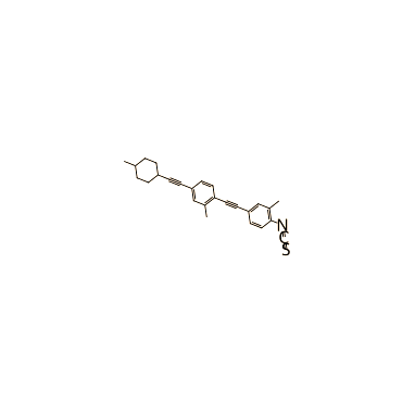 Cc1cc(C#CC2CCC(C)CC2)ccc1C#Cc1ccc(N=C=S)c(C)c1